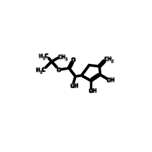 C=C1CC(C(O)C(=O)OC(C)(C)C)C(O)=C1O